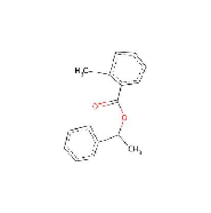 Cc1ccccc1C(=O)OC(C)c1ccccc1